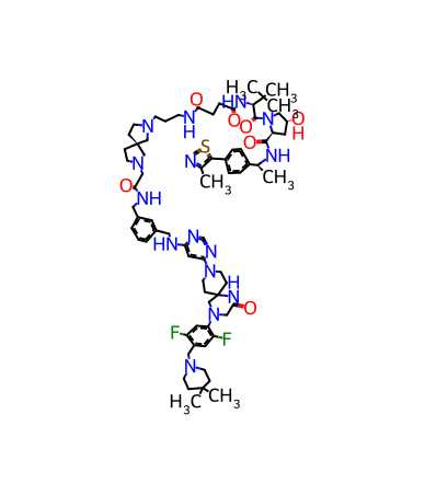 Cc1ncsc1-c1ccc([C@H](C)NC(=O)[C@@H]2C[C@@H](O)CN2C(=O)[C@@H](NC(=O)CCC(=O)NCCCN2CC[C@@]3(CCN(CC(=O)NCc4cccc(CNc5cc(N6CCC7(CC6)CN(c6cc(F)c(CN8CCC(C)(C)CC8)cc6F)CC(=O)N7)ncn5)c4)C3)C2)C(C)(C)C)cc1